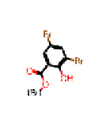 CC(C)(C)OC(=O)c1cc(Br)cc(Br)c1O